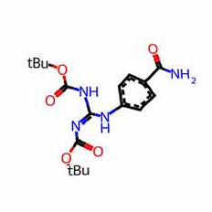 CC(C)(C)OC(=O)/N=C(/NC(=O)OC(C)(C)C)Nc1ccc(C(N)=O)cc1